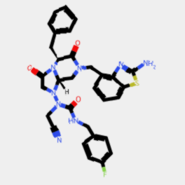 N#CCN(C(=O)NCc1ccc(F)cc1)N1CC(=O)N2[C@@H](Cc3ccccc3)C(=O)N(Cc3cccc4sc(N)nc34)C[C@@H]21